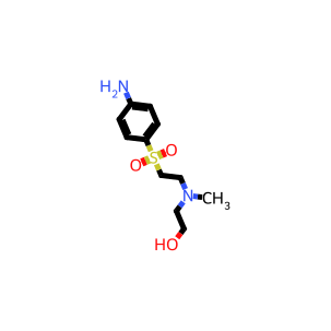 CN(CCO)CCS(=O)(=O)c1ccc(N)cc1